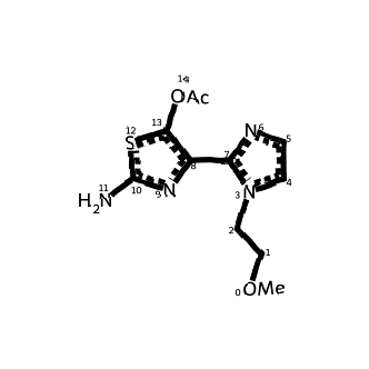 COCCn1ccnc1-c1nc(N)sc1OC(C)=O